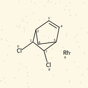 ClC1C2C=CC(C2)C1Cl.[Rh]